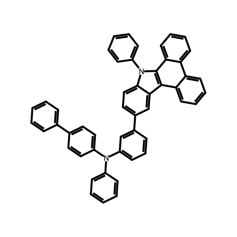 c1ccc(-c2ccc(N(c3ccccc3)c3cccc(-c4ccc5c(c4)c4c6ccccc6c6ccccc6c4n5-c4ccccc4)c3)cc2)cc1